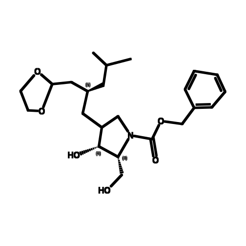 CC(C)C[C@H](CC1OCCO1)CC1CN(C(=O)OCc2ccccc2)[C@H](CO)[C@@H]1O